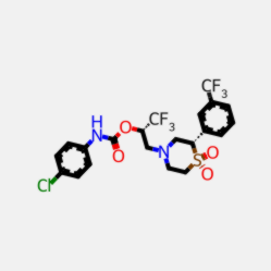 O=C(Nc1ccc(Cl)cc1)O[C@@H](CN1CCS(=O)(=O)[C@@H](c2cccc(C(F)(F)F)c2)C1)C(F)(F)F